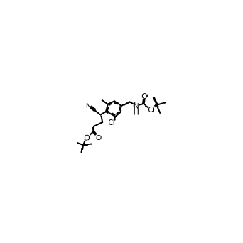 Cc1cc(CNC(=O)OC(C)(C)C)cc(Cl)c1C(C#N)CCC(=O)OC(C)(C)C